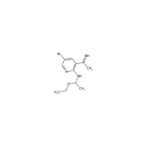 CCOC(C)Nc1ncc(Br)cc1C(C)=N